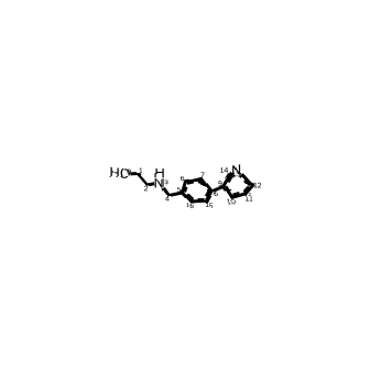 OCCNCc1ccc(-c2c[c]cnc2)cc1